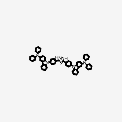 c1ccc(N(c2ccccc2)c2ccc3c(c2)c2ccccc2n3-c2ccc(C3NNC(c4ccc(-n5c6ccccc6c6cc(N(c7ccccc7)c7ccccc7)ccc65)cc4)S3)cc2)cc1